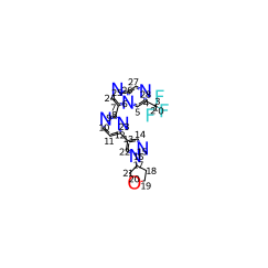 FC(F)(F)c1cn2c(-c3nccc(-c4cnn(C5CCOC5)c4)n3)cnc2cn1